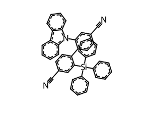 N#Cc1ccc(-c2ccc(C#N)cc2[Si](c2ccccc2)(c2ccccc2)c2ccccc2)c(-n2c3ccccc3c3ccccc32)c1